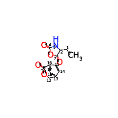 CCC1NC(=O)OC1=O.O=C1OCc2ccc1cc2